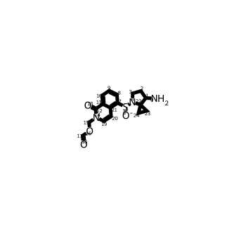 NC1CCN([S+]([O-])c2cccc3c(=O)n(COC=O)ccc23)C12CC2